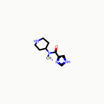 CN(C(=O)c1c[nH]cn1)C1CCNCC1